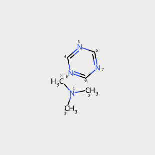 CN(C)C.c1ncncn1